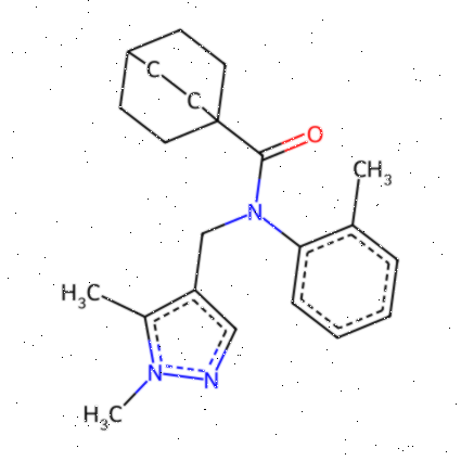 Cc1ccccc1N(Cc1cnn(C)c1C)C(=O)C12CCC(CC1)CC2